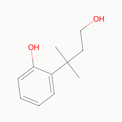 CC(C)(CCO)c1ccccc1O